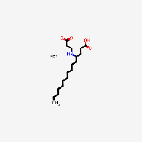 CCCCCCCCCCCC(CCC(=O)O)NCCC(=O)[O-].[Na+]